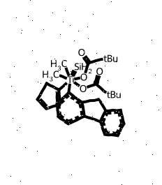 CC(C)(C)C(=O)[O][Ti]([CH3])([CH3])(=[SiH2])([O]C(=O)C(C)(C)C)([C]1=CC=CC1)[c]1cccc2c1Cc1ccccc1-2